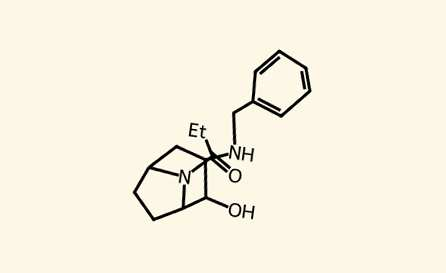 CCC(=O)N1C2CCC1C(O)C(NCc1ccccc1)C2